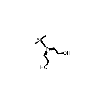 C[Si](C)(C)/P(=C\CO)=C/CO